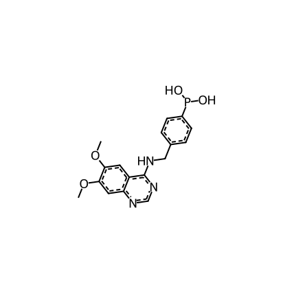 COc1cc2ncnc(NCc3ccc(P(O)O)cc3)c2cc1OC